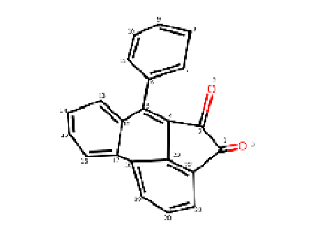 O=C1C(=O)c2c(-c3ccccc3)c3ccccc3c3cccc1c23